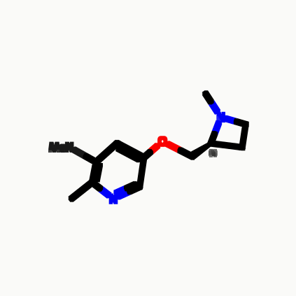 CNc1cc(OC[C@@H]2CCN2C)cnc1C